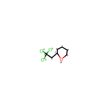 ClC(Cl)(Cl)CC1CCCCO1